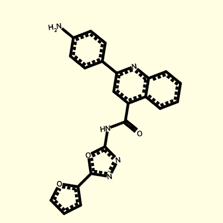 Nc1ccc(-c2cc(C(=O)Nc3nnc(-c4ccco4)o3)c3ccccc3n2)cc1